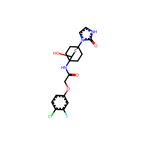 O=C(COc1ccc(Cl)c(F)c1)NC12CCC(n3cc[nH]c3=O)(CC1)CC2O